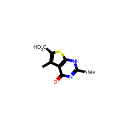 CSc1nc(=O)c2c(C)c(C(=O)O)sc2[nH]1